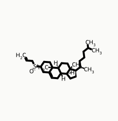 C=CC[S+]([O-])C1CC[C@@]2(C)C(=CC[C@H]3[C@@H]4CC[C@H]([C@H](C)CCCC(C)C)[C@@]4(C)CC[C@@H]32)C1